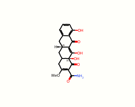 COC1=C(C(N)=O)C(=O)[C@@]2(O)C(O)=C3C(=O)c4c(O)cccc4C[C@H]3CC2C1